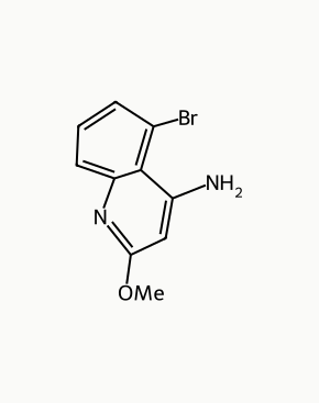 COc1cc(N)c2c(Br)cccc2n1